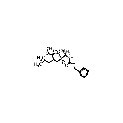 COC(=O)C(CC(C)C)CP(=O)(OC)C(C)NC(=O)OCc1ccccc1